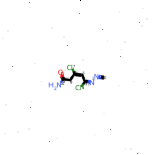 C=N/N=C(Cl)\C=C(\Cl)CC(N)=O